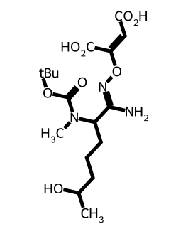 CC(O)CCCC(/C(N)=N/O/C(=C/C(=O)O)C(=O)O)N(C)C(=O)OC(C)(C)C